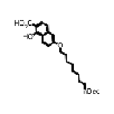 CCCCCCCCCCCCCCCCCCOc1ccc2c(O)c(C(=O)O)ccc2c1